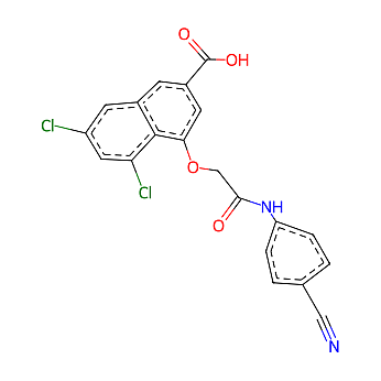 N#Cc1ccc(NC(=O)COc2cc(C(=O)O)cc3cc(Cl)cc(Cl)c23)cc1